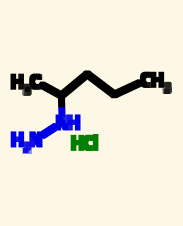 CCCC(C)NN.Cl